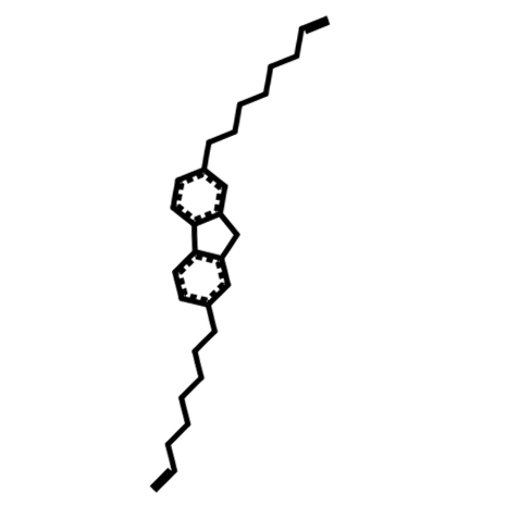 C=CCCCCCCc1ccc2c(c1)Cc1cc(CCCCCCC=C)ccc1-2